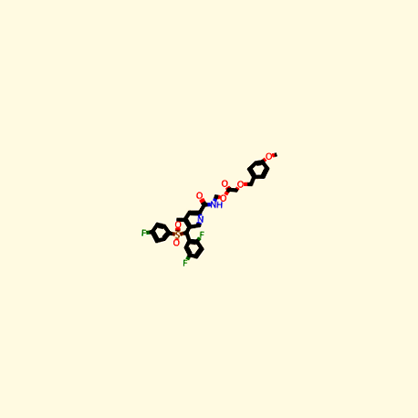 COc1ccc(COCC(=O)OCNC(=O)c2cc(C)c(C(c3cc(F)ccc3F)S(=O)(=O)c3ccc(F)cc3)cn2)cc1